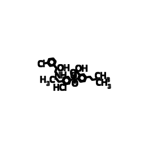 CC(C)CCc1ccc(S(=O)(=O)c2ccc(C[C@@H](C)NC[C@H](O)c3cccc(Cl)c3)cc2)c(C(=O)O)c1.Cl